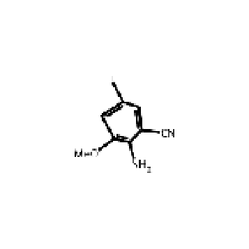 COc1cc(I)cc(C#N)c1N